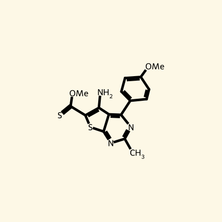 COC(=S)c1sc2nc(C)nc(-c3ccc(OC)cc3)c2c1N